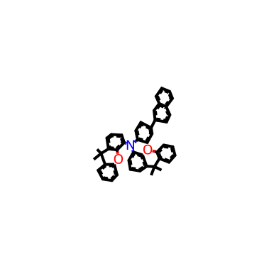 CC1(C)c2ccccc2Oc2c(N(c3ccc(-c4ccc5ccccc5c4)cc3)c3cccc4c3Oc3ccccc3C4(C)C)cccc21